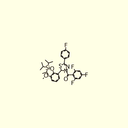 COc1cccc(C2SC(c3ccc(F)cc3)=NN2C(=O)c2c(F)cc(F)cc2F)c1O[Si](C(C)C)(C(C)C)C(C)C